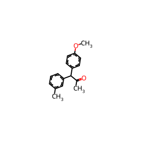 COc1ccc(C(C(C)=O)c2cccc(C)c2)cc1